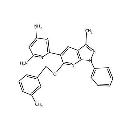 Cc1cccc(COc2nc3c(cc2-c2nc(N)cc(N)n2)c(C)nn3-c2ccccc2)c1